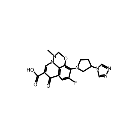 CN1COc2c(N3CCC(n4cnnc4)C3)c(F)cc3c(=O)c(C(=O)O)cn1c23